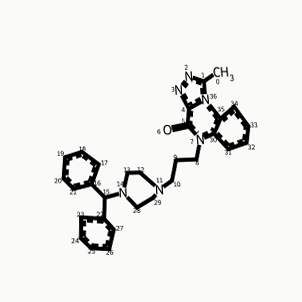 Cc1nnc2c(=O)n(CCCN3CCN(C(c4ccccc4)c4ccccc4)CC3)c3ccccc3n12